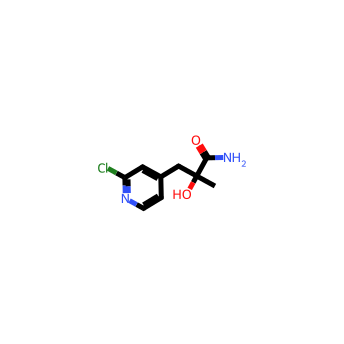 CC(O)(Cc1ccnc(Cl)c1)C(N)=O